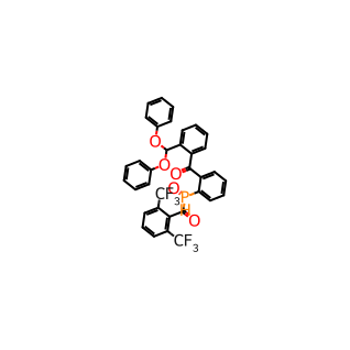 O=C(c1ccccc1C(Oc1ccccc1)Oc1ccccc1)c1ccccc1[PH](=O)C(=O)c1c(C(F)(F)F)cccc1C(F)(F)F